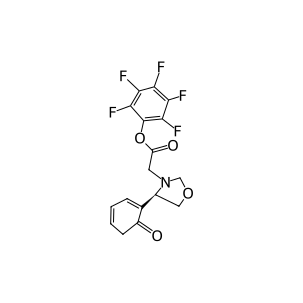 O=C(CN1COC[C@H]1C1=CC=CCC1=O)Oc1c(F)c(F)c(F)c(F)c1F